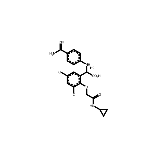 Cl.N=C(N)c1ccc(NC(C(=O)O)c2cc(Cl)cc(Cl)c2OCC(=O)NC2CC2)cc1